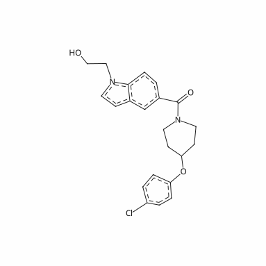 O=C(c1ccc2c(ccn2CCO)c1)N1CCC(Oc2ccc(Cl)cc2)CC1